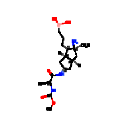 CC(C)[C@H](NC(=O)OC(C)(C)C)C(=O)N[C@H]1C[C@@H]2C[C@@](N)(C(=O)O)[C@@H](CCCB(O)O)[C@@H]2C1